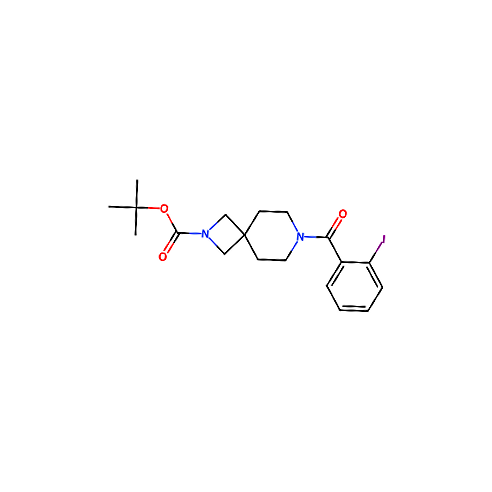 CC(C)(C)OC(=O)N1CC2(CCN(C(=O)c3ccccc3I)CC2)C1